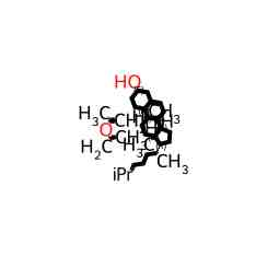 C=C(C)OC(=C)C.CC(C)CCCC(C)[C@H]1CC[C@H]2[C@@H]3CC=C4C[C@@H](O)CC[C@]4(C)[C@H]3CC[C@]12C